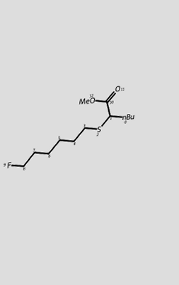 CCCCC(SCCCCCCF)C(=O)OC